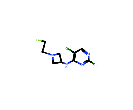 FCCN1CC(Nc2nc(Cl)ncc2Cl)C1